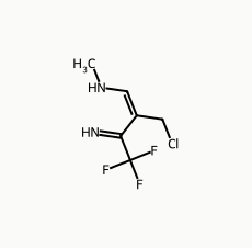 CN/C=C(/CCl)C(=N)C(F)(F)F